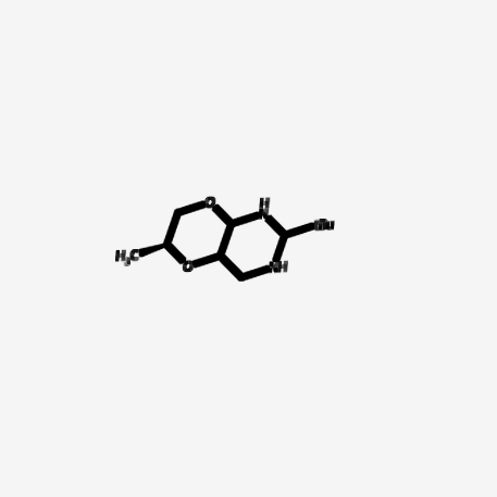 C[C@H]1COC2NC(C(C)(C)C)NCC2O1